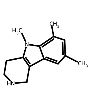 Cc1cc(C)c2c(c1)c1c(n2C)CCNC1